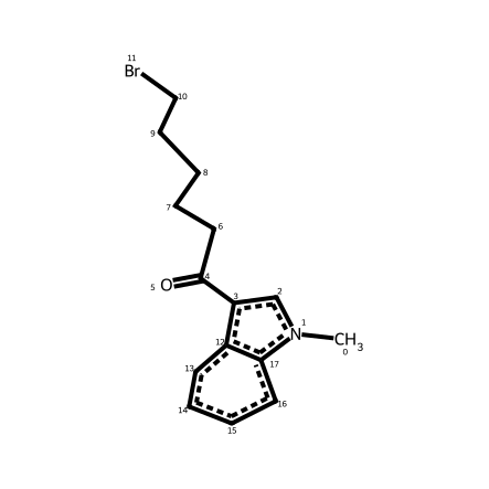 Cn1cc(C(=O)CCCCCBr)c2ccccc21